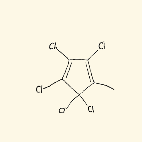 CC1=C(Cl)C(Cl)=C(Cl)C1(Cl)Cl